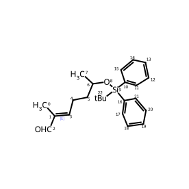 C/C(C=O)=C\CCC(C)O[Si](c1ccccc1)(c1ccccc1)C(C)(C)C